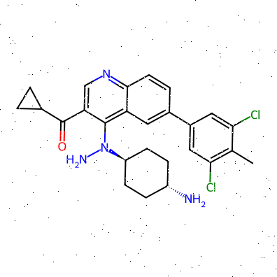 Cc1c(Cl)cc(-c2ccc3ncc(C(=O)C4CC4)c(N(N)[C@H]4CC[C@H](N)CC4)c3c2)cc1Cl